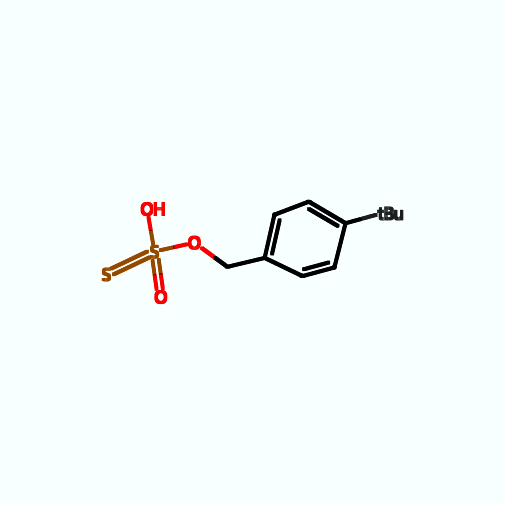 CC(C)(C)c1ccc(COS(=O)(O)=S)cc1